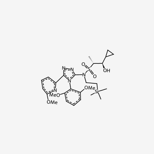 COc1cccc(-c2nnc(N(CC[Si](C)(C)C)S(=O)(=O)[C@H](C)[C@H](O)C3CC3)n2-c2c(OC)cccc2OC)n1